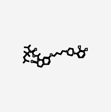 CC(C)CC(C)(C)N(C(=O)OC(C)N1C(=O)CCc2ccc(OCCCCN3CCN(c4cccc(Cl)c4Cl)CC3)cc21)C(C)C